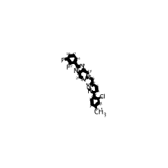 Cc1ccc(-c2ccc(Cn3cc4nc(-c5cccc(F)c5F)nc-4cn3)nn2)c(Cl)c1